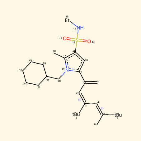 C=C(/C=C(\C=C(/C)C(C)(C)C)C(C)(C)C)c1cc(S(=O)(=O)NCC)c(C)n1CC1CCCCC1